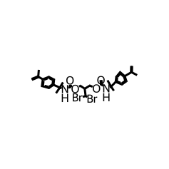 C=C(C)c1ccc(C(C)(C)NC(=O)OCC(COC(=O)NC(C)(C)c2ccc(C(=C)C)cc2)C(Br)Br)cc1